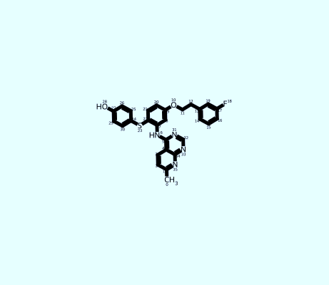 Cc1ccc2c(Nc3cc(OCCc4cccc(F)c4)ccc3Sc3ccc(O)cc3)ncnc2n1